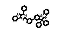 c1ccc(-c2nc(-c3cccc(-c4ccc5c(c4)C(c4ccccc4)(c4ccccc4)c4nc6ccccc6n4-5)c3)nc3c2oc2ccccc23)cc1